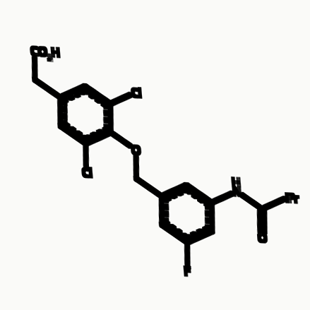 CC(C)C(=O)Nc1cc(F)cc(COc2c(Cl)cc(CC(=O)O)cc2Cl)c1